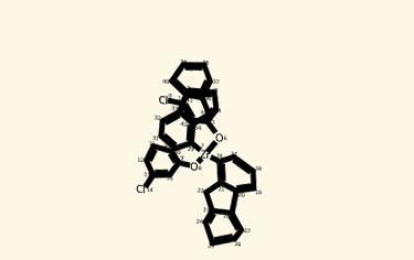 Clc1cccc([O][Zr]([O]c2cccc(Cl)c2)([c]2cccc3c2Cc2ccccc2-3)[c]2cccc3c2Cc2ccccc2-3)c1